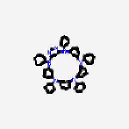 C1=CC(N2c3cccc(c3)N(c3ccccc3)c3cccc(c3)N(c3ccccc3)c3cccc(c3)N(c3ccccc3)c3cccc(c3)N(c3ccccc3)c3cc2ncn3)=CCC1